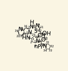 CCC[C@@H]1C[C@@H](Nc2nc(Nc3ncc(CO)s3)cc3ncccc23)C[C@H](C)N1C(=O)CN1CCCC1